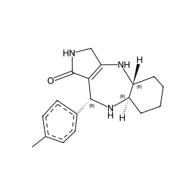 Cc1ccc([C@H]2N[C@@H]3CCCC[C@H]3NC3=C2C(=O)NC3)cc1